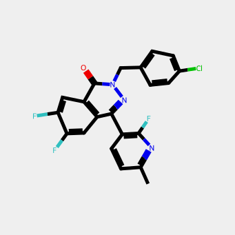 Cc1ccc(-c2nn(Cc3ccc(Cl)cc3)c(=O)c3cc(F)c(F)cc23)c(F)n1